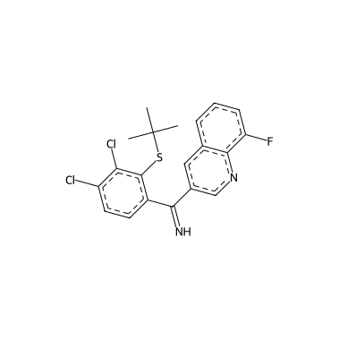 CC(C)(C)Sc1c(C(=N)c2cnc3c(F)cccc3c2)ccc(Cl)c1Cl